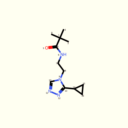 CC(C)(C)C(=O)NCCn1cnnc1C1CC1